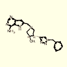 Nc1ncnc2cc(CN3C[C@H](c4cn(Cc5ccccc5)nn4)[C@@H](O)C3)[nH]c12